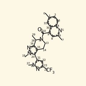 Cc1ccc2nc(C)cc(C(=O)N3CCc4c(nn(C)c4-c4cc(C(F)(F)F)nn4C)C3C)c2c1